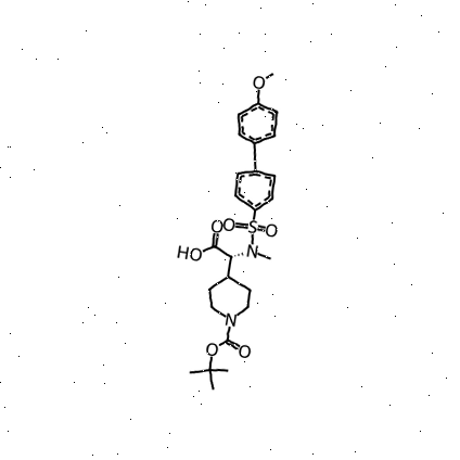 COc1ccc(-c2ccc(S(=O)(=O)N(C)[C@@H](C(=O)O)C3CCN(C(=O)OC(C)(C)C)CC3)cc2)cc1